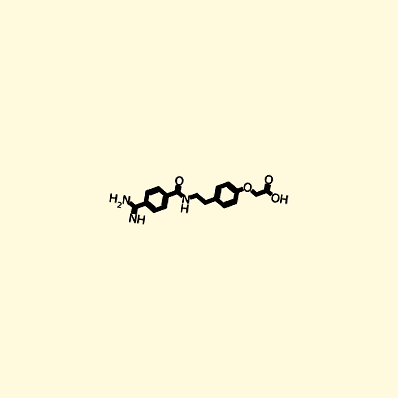 N=C(N)c1ccc(C(=O)NCCc2ccc(OCC(=O)O)cc2)cc1